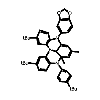 CC1=CC2(C)C3B(c4cc(C(C)(C)C)ccc4N(c4ccc5c(c4)OCO5)C3=C1)c1cc(C(C)(C)C)ccc1N2c1ccc(C(C)(C)C)cc1